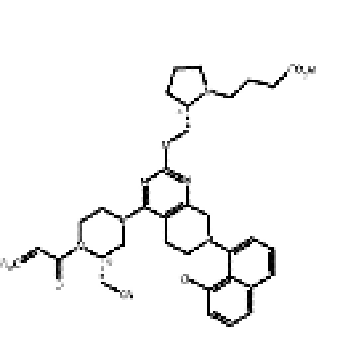 C=CC(=O)N1CCN(c2nc(OC[C@@H]3CCCN3CCCC(=O)O)nc3c2CCN(c2cccc4cccc(Cl)c24)C3)C[C@@H]1CC#N